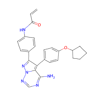 C=CC(=O)Nc1ccc(-c2nn3ncnc(N)c3c2-c2ccc(OC3CCCC3)cc2)cc1